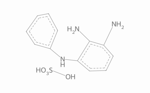 Nc1cccc(Nc2ccccc2)c1N.O=S(=O)(O)O